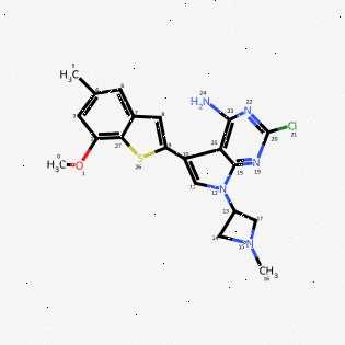 COc1cc(C)cc2cc(-c3cn(C4CN(C)C4)c4nc(Cl)nc(N)c34)sc12